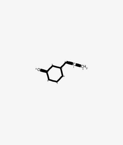 C=C=C[C]1CCCC(=O)C1